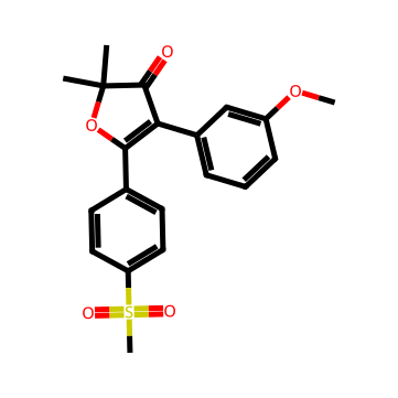 COc1cccc(C2=C(c3ccc(S(C)(=O)=O)cc3)OC(C)(C)C2=O)c1